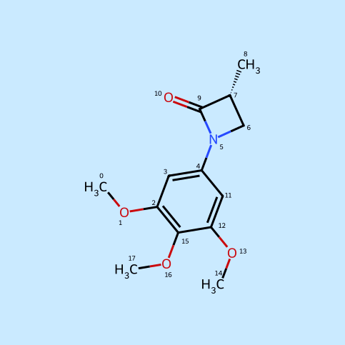 COc1cc(N2C[C@@H](C)C2=O)cc(OC)c1OC